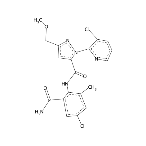 COCc1cc(C(=O)Nc2c(C)cc(Cl)cc2C(N)=O)n(-c2ncccc2Cl)n1